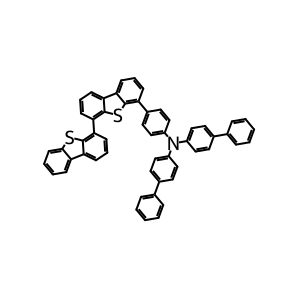 c1ccc(-c2ccc(N(c3ccc(-c4ccccc4)cc3)c3ccc(-c4cccc5c4sc4c(-c6cccc7c6sc6ccccc67)cccc45)cc3)cc2)cc1